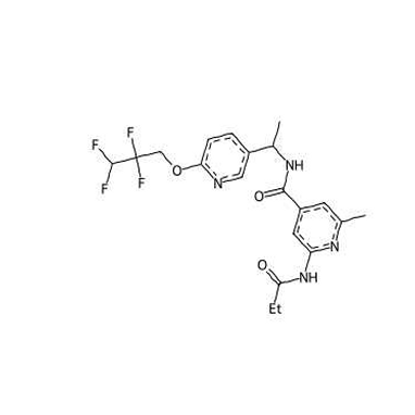 CCC(=O)Nc1cc(C(=O)NC(C)c2ccc(OCC(F)(F)C(F)F)nc2)cc(C)n1